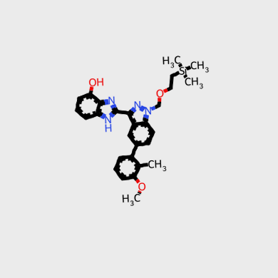 COc1cccc(-c2ccc3c(c2)c(-c2nc4c(O)cccc4[nH]2)nn3COCC[Si](C)(C)C)c1C